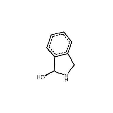 OC1NCc2ccccc21